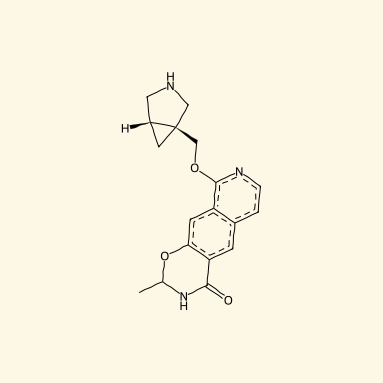 CC1NC(=O)c2cc3ccnc(OC[C@]45CNC[C@H]4C5)c3cc2O1